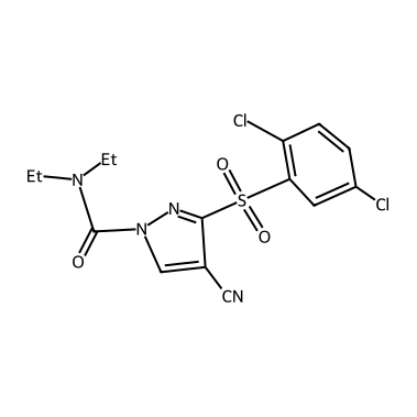 CCN(CC)C(=O)n1cc(C#N)c(S(=O)(=O)c2cc(Cl)ccc2Cl)n1